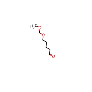 COCOCCCCC=O